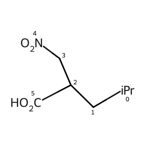 CC(C)CC(C[N+](=O)[O-])C(=O)O